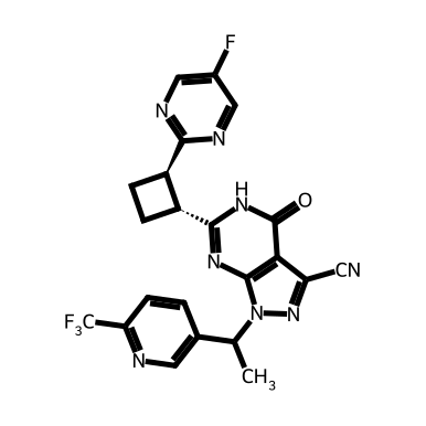 CC(c1ccc(C(F)(F)F)nc1)n1nc(C#N)c2c(=O)[nH]c([C@@H]3CC[C@H]3c3ncc(F)cn3)nc21